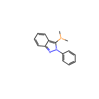 CP(C)c1c2ccccc2nn1-c1ccccc1